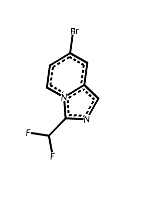 FC(F)c1ncc2cc(Br)ccn12